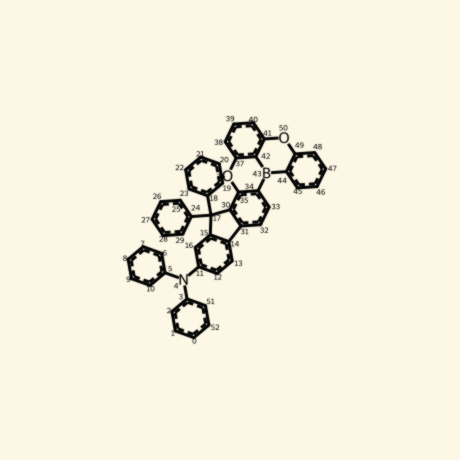 c1ccc(N(c2ccccc2)c2ccc3c(c2)C(c2ccccc2)(c2ccccc2)c2c-3ccc3c2Oc2cccc4c2B3c2ccccc2O4)cc1